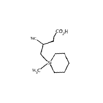 C[Si]1(CC(C#N)CC(=O)O)CCCCC1